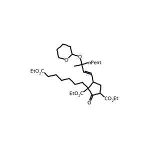 CCCCCC(C)(/C=C/C1CC(C(=O)OCC)C(=O)C1(CCCCCCC(=O)OCC)C(=O)OCC)OC1CCCCO1